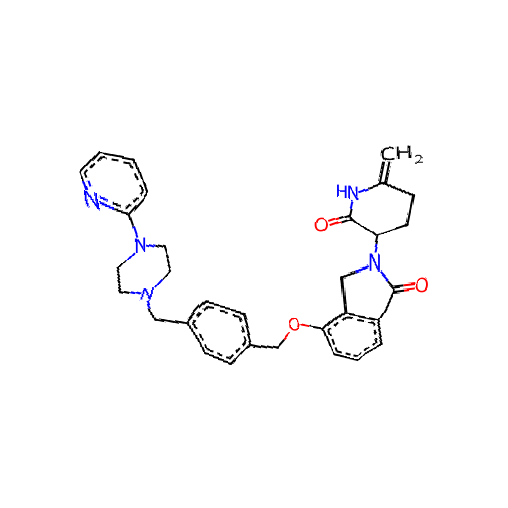 C=C1CCC(N2Cc3c(OCc4ccc(CN5CCN(c6ccccn6)CC5)cc4)cccc3C2=O)C(=O)N1